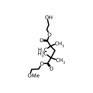 COCCOC(=O)C(C)(C)CC(C)(C)C(=O)OCCO